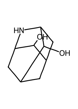 OC1C2CC3CC1NC(C2)C3O